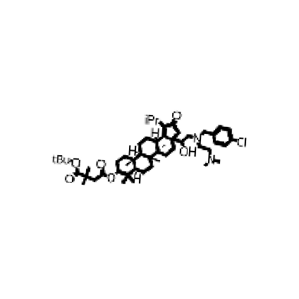 CC(C)C1=C2[C@H]3CC[C@@H]4[C@@]5(C)CC[C@H](OC(=O)CC(C)(C)C(=O)OC(C)(C)C)C(C)(C)[C@@H]5CC[C@@]4(C)[C@]3(C)CCC2(C(O)CN(CCN(C)C)Cc2ccc(Cl)cc2)CC1=O